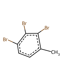 Cc1ccc(Br)c(Br)c1Br